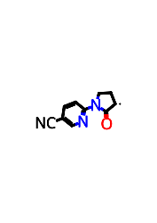 N#Cc1ccc(N2CC[CH]C2=O)nc1